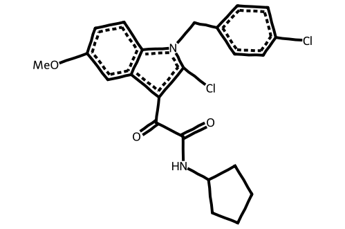 COc1ccc2c(c1)c(C(=O)C(=O)NC1CCCC1)c(Cl)n2Cc1ccc(Cl)cc1